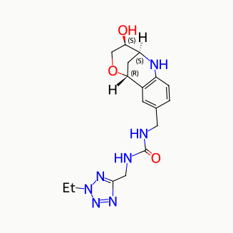 CCn1nnc(CNC(=O)NCc2ccc3c(c2)[C@H]2C[C@H](N3)[C@H](O)CO2)n1